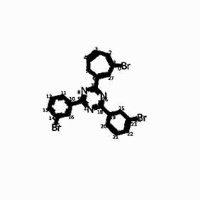 BrC1=CC#CCC(c2nc(-c3cccc(Br)c3)nc(C3C=CC=C(Br)C3)n2)=C1